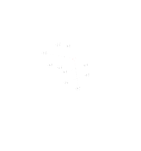 [2H]C([2H])([2H])C([2H])([2H])OC([2H])([2H])C([2H])([2H])[2H]